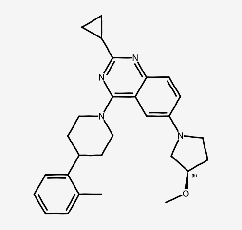 CO[C@@H]1CCN(c2ccc3nc(C4CC4)nc(N4CCC(c5ccccc5C)CC4)c3c2)C1